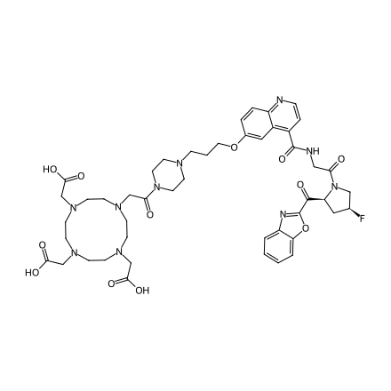 O=C(O)CN1CCN(CC(=O)O)CCN(CC(=O)N2CCN(CCCOc3ccc4nccc(C(=O)NCC(=O)N5C[C@@H](F)C[C@H]5C(=O)c5nc6ccccc6o5)c4c3)CC2)CCN(CC(=O)O)CC1